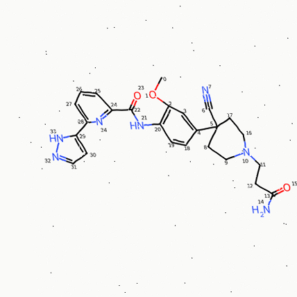 COc1cc(C2(C#N)CCN(CCC(N)=O)CC2)ccc1NC(=O)c1cccc(-c2ccn[nH]2)n1